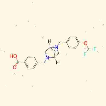 O=C(O)c1ccc(CN2C[C@@H]3C[C@H]2CN3Cc2ccc(OC(F)F)cc2)cc1